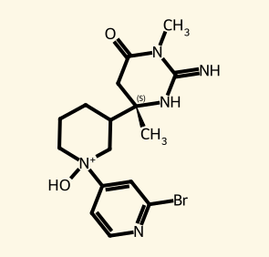 CN1C(=N)N[C@](C)(C2CCC[N+](O)(c3ccnc(Br)c3)C2)CC1=O